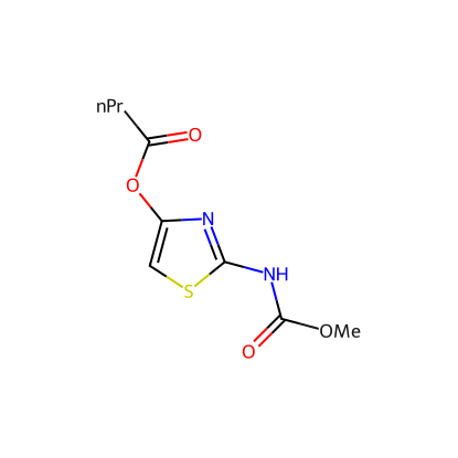 CCCC(=O)Oc1csc(NC(=O)OC)n1